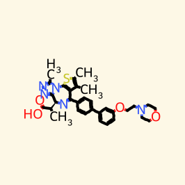 Cc1sc2c(c1C)C(c1ccc(-c3cccc(OCCN4CCOCC4)c3)cc1)=N[C@@H](C(C)C(=O)O)c1nnc(C)n1-2